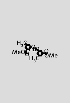 COC(=O)c1cc(C)cc(OBOc2cc(C)cc(C(=O)OC)c2)c1